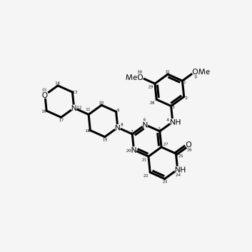 COc1cc(Nc2nc(N3CCC(N4CCOCC4)CC3)nc3cc[nH]c(=O)c23)cc(OC)c1